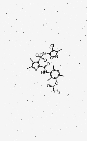 Cc1cc(C)c(OC(N)=O)c(C)c1NC(=O)c1sc(C)c(C)c1S(=O)(=O)Nc1onc(C)c1Cl